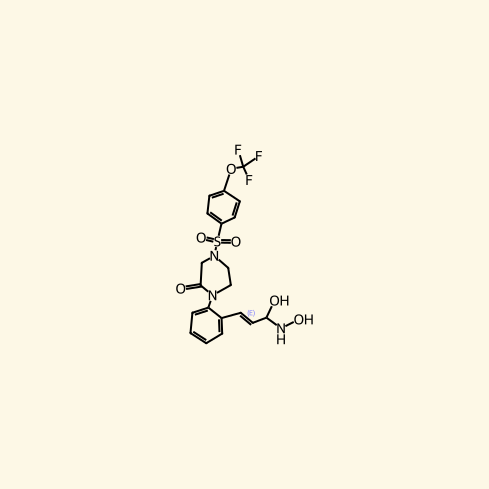 O=C1CN(S(=O)(=O)c2ccc(OC(F)(F)F)cc2)CCN1c1ccccc1/C=C/C(O)NO